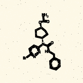 NC(=O)O[C@H]1CC[C@H](N(C(=O)NCc2ccccc2)c2ccc(Br)nn2)CC1